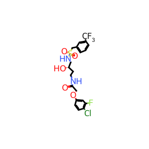 O=C(COc1ccc(Cl)c(F)c1)NCC[C@H](O)CNS(=O)(=O)Cc1cccc(C(F)(F)F)c1